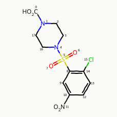 O=C(O)N1CCN(S(=O)(=O)c2cc([N+](=O)[O-])ccc2Cl)CC1